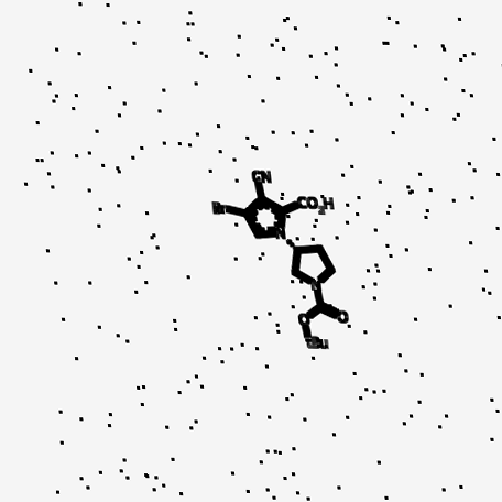 CC(C)(C)OC(=O)N1CC[C@@H](n2cc(Br)c(C#N)c2C(=O)O)C1